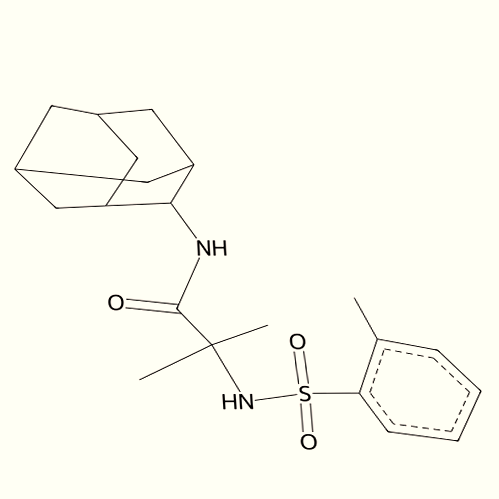 Cc1ccccc1S(=O)(=O)NC(C)(C)C(=O)NC1C2CC3CC(C2)CC1C3